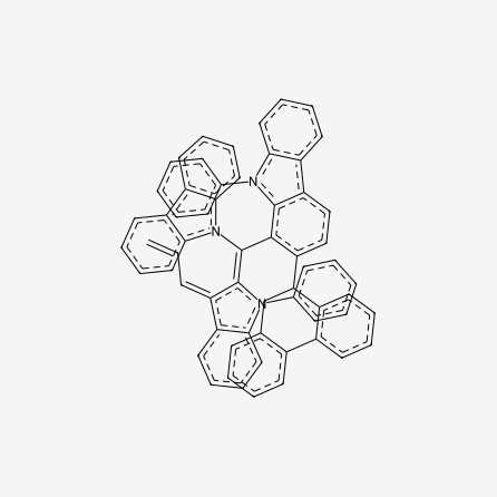 C=C/C=c1\c(=C(\c2c(C3Cc4ccccc4-c4ccccc43)ccc3c4ccccc4n(-c4ccccc4)c23)n2c3ccccc3c3ccccc32)n(-c2ccccc2)c2ccccc12